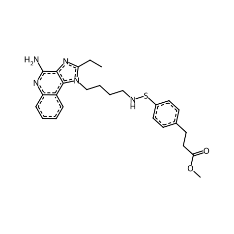 CCc1nc2c(N)nc3ccccc3c2n1CCCCNSc1ccc(CCC(=O)OC)cc1